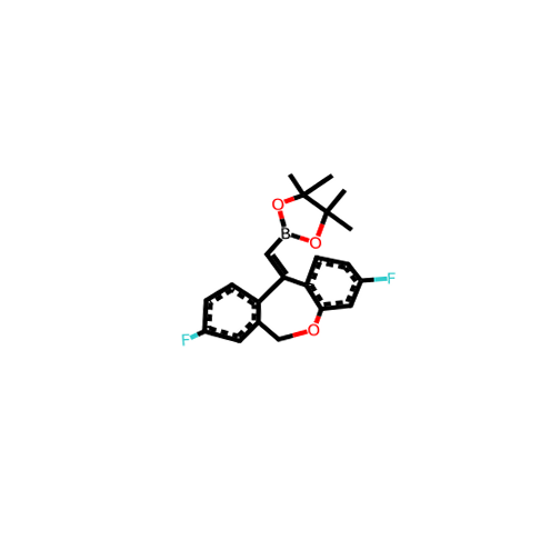 CC1(C)OB(C=C2c3ccc(F)cc3COc3cc(F)ccc32)OC1(C)C